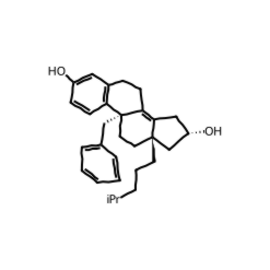 CC(C)CCC[C@@]12CC[C@]3(Cc4ccccc4)C(=C1C[C@H](O)C2)CCc1cc(O)ccc13